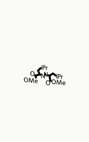 COC(=O)C(CC(C)C)N=NC(CC(C)C)C(=O)OC